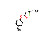 CCC(C)c1ccc(OC(=O)CC(F)(F)S(=O)(=O)O)cc1